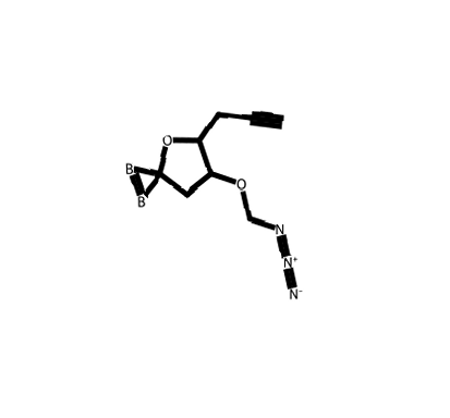 C#CCC1OC2(B=B2)CC1OCN=[N+]=[N-]